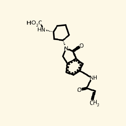 C=CC(=O)Nc1ccc2c(c1)C(=O)N([C@H]1CCC[C@@H](NC(=O)O)C1)C2